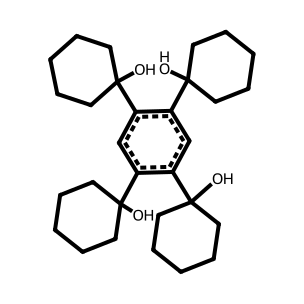 OC1(c2cc(C3(O)CCCCC3)c(C3(O)CCCCC3)cc2C2(O)CCCCC2)CCCCC1